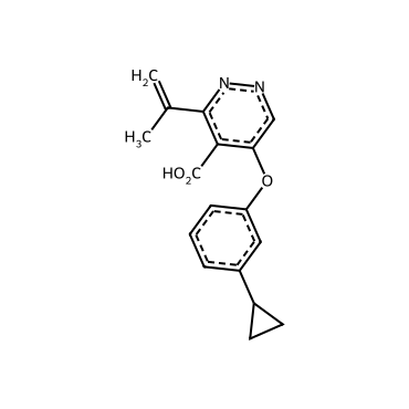 C=C(C)c1nncc(Oc2cccc(C3CC3)c2)c1C(=O)O